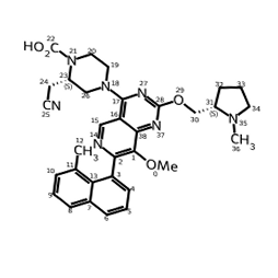 COc1c(-c2cccc3cccc(C)c23)ncc2c(N3CCN(C(=O)O)[C@@H](CC#N)C3)nc(OC[C@@H]3CCCN3C)nc12